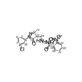 CC1=NN(c2cccc(Cl)c2)C(=O)/C1=C\NNC(=O)c1ccccc1[N+](=O)[O-]